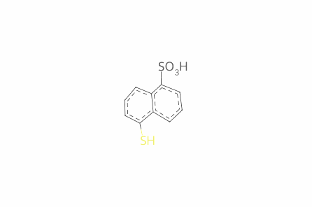 O=S(=O)(O)c1cccc2c(S)cccc12